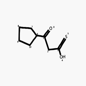 O=C(CC(O)=S)C1CCCC1